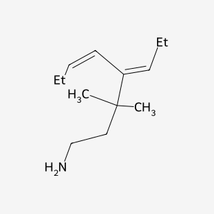 CC/C=C\C(=C/CC)C(C)(C)CCN